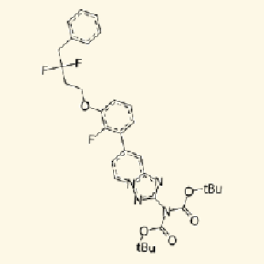 CC(C)(C)OC(=O)N(C(=O)OC(C)(C)C)c1nc2cc(-c3cccc(OCCC(F)(F)Cc4ccccc4)c3F)ccn2n1